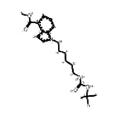 COC(=O)c1cccc2c1ccn2CCCCCCNC(=O)OC(C)(C)C